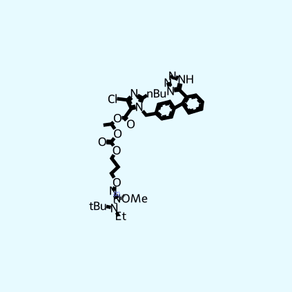 CCCCc1nc(Cl)c(C(=O)OC(C)OC(=O)OCCCO/N=[N+](\OC)N(CC)C(C)(C)C)n1Cc1ccc(-c2ccccc2-c2nnn[nH]2)cc1